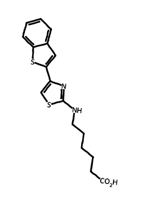 O=C(O)CCCCCNc1nc(-c2cc3ccccc3s2)cs1